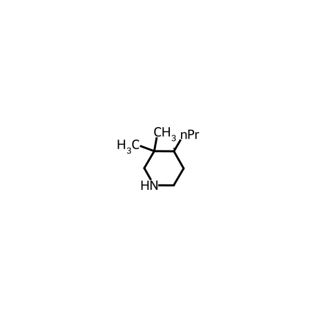 CCC[C]1CCNCC1(C)C